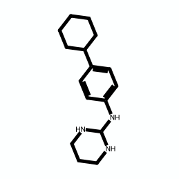 c1cc(C2CCCCC2)ccc1NC1NCCCN1